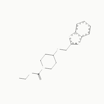 CCOC(=O)N1CCC(NCc2nc3ccccc3[nH]2)CC1